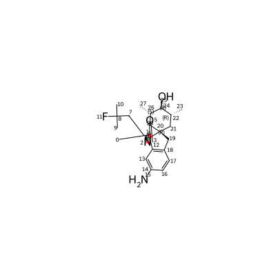 CC1=N[C@@]2(C(=O)N1CC(C)(C)F)c1cc(N)ccc1C[C@@]21C[C@@H](C)[C@H](O)[C@@H](C)C1